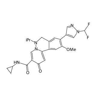 COc1cc2c(cc1-c1cnn(C(F)F)c1)CN(C(C)C)n1cc(C(=O)NC3CC3)c(=O)cc1-2